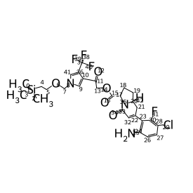 C[Si](C)(C)CCOCn1cc(C(=O)COC(=O)[C@@H]2CC[C@@H]3CC(c4c(N)ccc(Cl)c4F)=CC(=O)N32)c(C(F)(F)F)c1